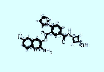 C[C@H](Oc1cc2cc(F)ccc2nc1N)c1cc(C(=O)N[C@H]2C[C@H](O)C2)ccc1-n1cccn1